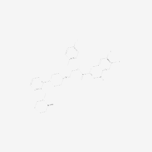 O=C(N[C@H](C=C1CCN(c2ccccc2CN2CCCCC2=O)CC1)Cc1ccc(Cl)cc1)c1cc(=O)c2cc(O)c(O)cc2o1